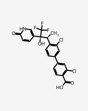 C[C@@H](c1ccc(-c2ccc(C(=O)O)c(Cl)c2)cc1Cl)[C@](O)(c1ccc(=O)[nH]c1)C(F)(F)F